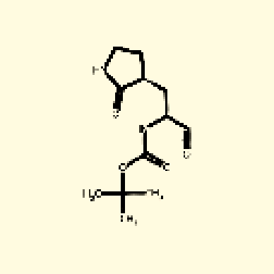 CC(C)(C)OC(=O)NC(C=O)C[C@@H]1CCNC1=O